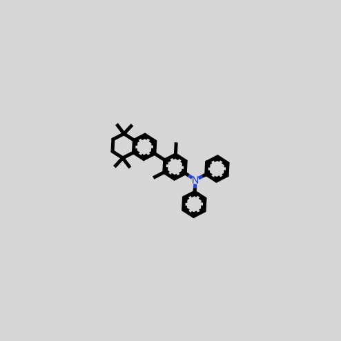 Cc1cc(N(c2ccccc2)c2ccccc2)cc(C)c1-c1ccc2c(c1)C(C)(C)CCC2(C)C